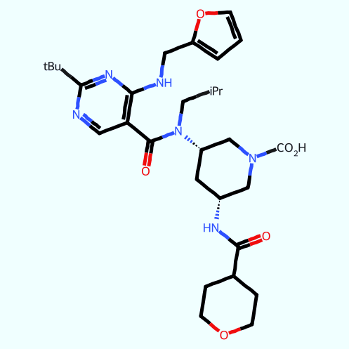 CC(C)CN(C(=O)c1cnc(C(C)(C)C)nc1NCc1ccco1)[C@H]1C[C@@H](NC(=O)C2CCOCC2)CN(C(=O)O)C1